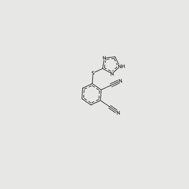 N#Cc1cccc(Sc2nc[nH]n2)c1C#N